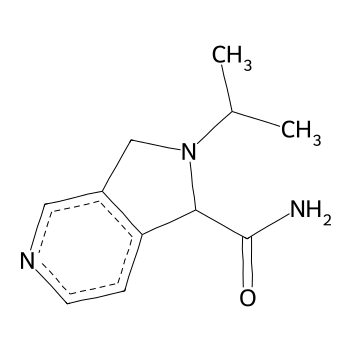 CC(C)N1Cc2cnccc2C1C(N)=O